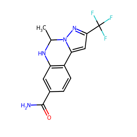 CC1Nc2cc(C(N)=O)ccc2-c2cc(C(F)(F)F)nn21